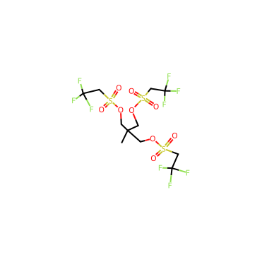 CC(COS(=O)(=O)CC(F)(F)F)(COS(=O)(=O)CC(F)(F)F)COS(=O)(=O)CC(F)(F)F